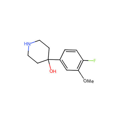 COc1cc(C2(O)CCNCC2)ccc1F